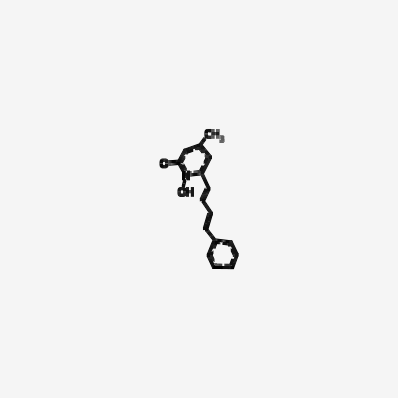 Cc1cc(C=CC=Cc2ccccc2)n(O)c(=O)c1